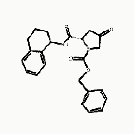 O=C1C[C@@H](C(=O)NC2CCCc3ccccc32)N(C(=O)OCc2ccccc2)C1